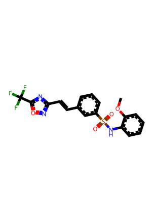 COc1ccccc1NS(=O)(=O)c1cccc(/C=C/c2noc(C(F)(F)F)n2)c1